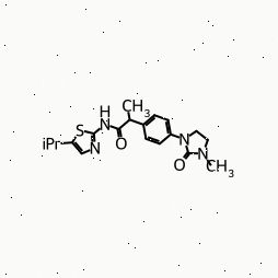 CC(C)c1cnc(NC(=O)C(C)c2ccc(N3CCN(C)C3=O)cc2)s1